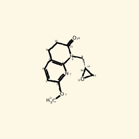 COc1ccc2c(n1)N(C[C@@H]1CO1)C(=O)CC2